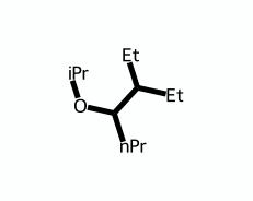 CCCC(OC(C)C)C(CC)CC